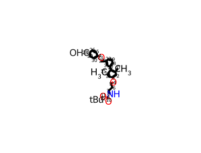 Cc1cc(OCCCNC(=O)OC(C)(C)C)cc(C)c1-c1cccc(COc2ccc(C=O)cc2)c1